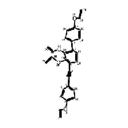 C=COc1ccc(C#Cc2ccc(-c3ccc(OC=C)cc3)c(OC=C)c2OC=C)cc1